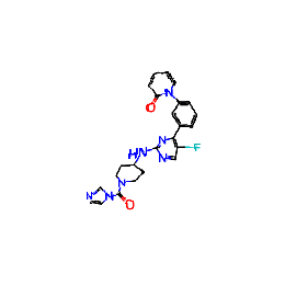 O=C(N1CCC(Nc2ncc(F)c(-c3cccc(-n4ccccc4=O)c3)n2)CC1)n1ccnc1